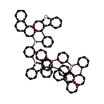 c1cc(N(c2ccc3c(ccc4ccccc43)c2)c2ccccc2-c2cccc3oc4ccccc4c23)cc(-n2c3ccccc3c3cc(-c4ccc5c(c4)oc4cccc(-c6ccccc6N(c6cccc(-n7c8ccccc8c8ccccc87)c6)c6cc7ccccc7c7ccccc67)c45)ccc32)c1